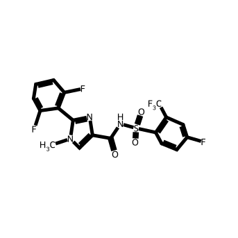 Cn1cc(C(=O)NS(=O)(=O)c2ccc(F)cc2C(F)(F)F)nc1-c1c(F)cccc1F